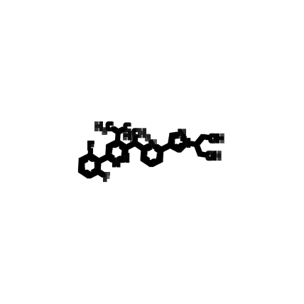 CC(C)c1cc(-c2c(F)cccc2F)nnc1C(C)c1cccc(-c2cnn(C(CO)CO)c2)n1